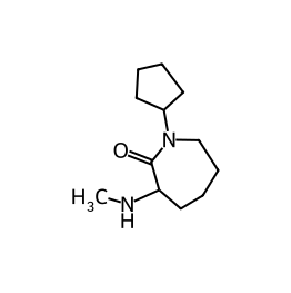 CNC1CCCCN(C2CCCC2)C1=O